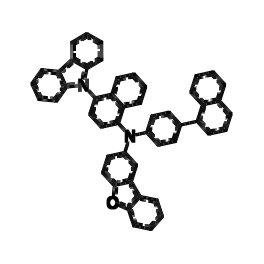 c1ccc2c(-c3ccc(N(c4ccc5oc6ccccc6c5c4)c4ccc(-n5c6ccccc6c6ccccc65)c5ccccc45)cc3)cccc2c1